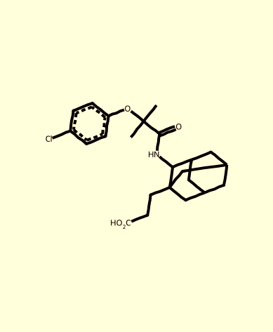 CC(C)(Oc1ccc(Cl)cc1)C(=O)NC1C2CC3CC(C2)CC1(CCC(=O)O)C3